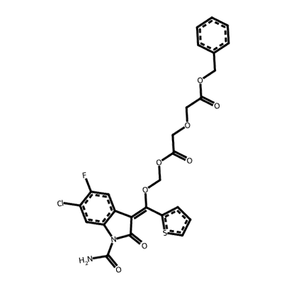 NC(=O)N1C(=O)/C(=C(/OCOC(=O)COCC(=O)OCc2ccccc2)c2cccs2)c2cc(F)c(Cl)cc21